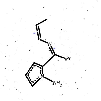 C/C=C\N=C(/c1cccn1N)C(C)C